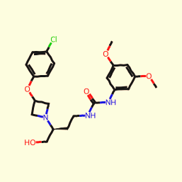 COc1cc(NC(=O)NCC[C@@H](CO)N2CC(Oc3ccc(Cl)cc3)C2)cc(OC)c1